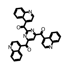 O=C(c1cc(C(=O)c2ccnc3ccccc23)nc(C(=O)c2ccnc3ccccc23)n1)c1ccnc2ccccc12